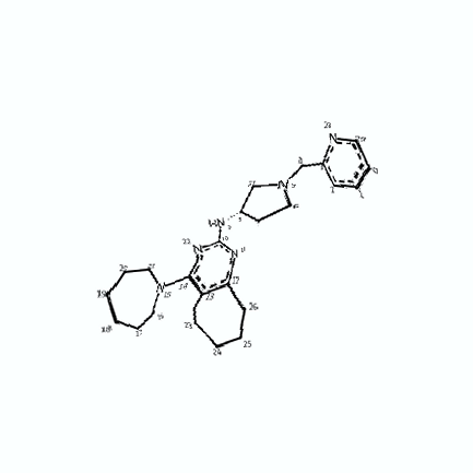 c1ccc(CN2CC[C@H](Nc3nc4c(c(N5CCCCCC5)n3)CCCC4)C2)nc1